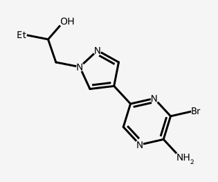 CCC(O)Cn1cc(-c2cnc(N)c(Br)n2)cn1